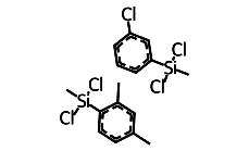 C[Si](Cl)(Cl)c1cccc(Cl)c1.Cc1ccc([Si](C)(Cl)Cl)c(C)c1